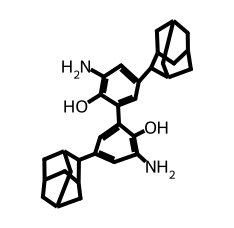 Nc1cc(C2C3CC4CC(C3)CC2C4)cc(-c2cc(C3C4CC5CC(C4)CC3C5)cc(N)c2O)c1O